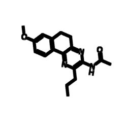 CCCc1nc2c(nc1NC(C)=O)CCc1cc(OC)ccc1-2